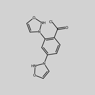 O=C(Cl)c1ccc(N2C=CON2)cc1N1C=CON1